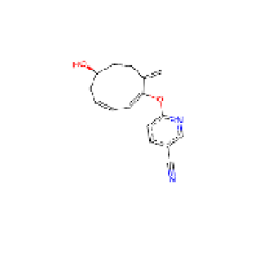 C=C1CC[C@H](O)C/C=C\C=C/1Oc1ccc(C#N)cn1